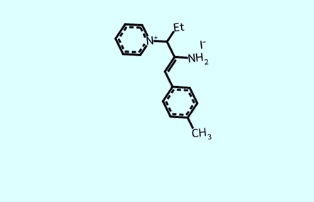 CCC(C(N)=Cc1ccc(C)cc1)[n+]1ccccc1.[I-]